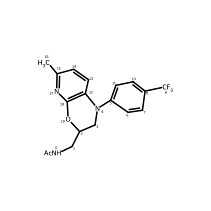 CC(=O)NCC1CN(c2ccc(C(F)(F)F)cc2)c2ccc(C)nc2O1